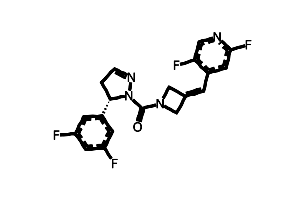 O=C(N1CC(=Cc2cc(F)ncc2F)C1)N1N=CC[C@H]1c1cc(F)cc(F)c1